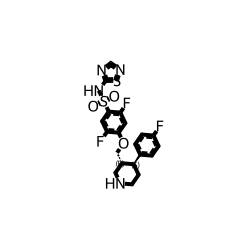 O=S(=O)(Nc1ncns1)c1cc(F)c(OC[C@H]2CNCC[C@@H]2c2ccc(F)cc2)cc1F